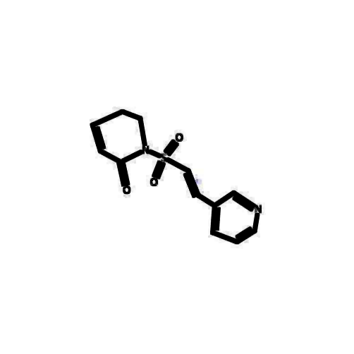 O=C1C=CCCN1S(=O)(=O)/C=C/c1cccnc1